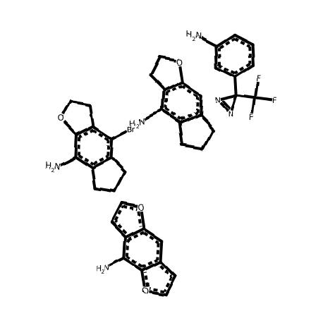 Nc1c2c(c(Br)c3c1OCC3)CCC2.Nc1c2c(cc3c1CCO3)CCC2.Nc1c2ccoc2cc2ccoc12.Nc1cccc(C2(C(F)(F)F)N=N2)c1